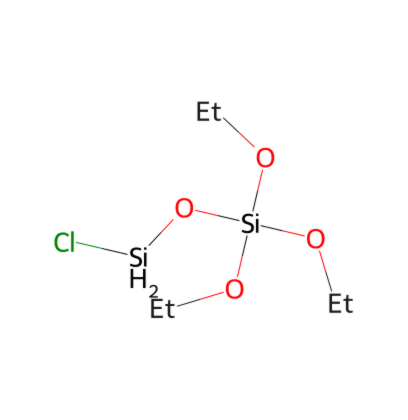 CCO[Si](OCC)(OCC)O[SiH2]Cl